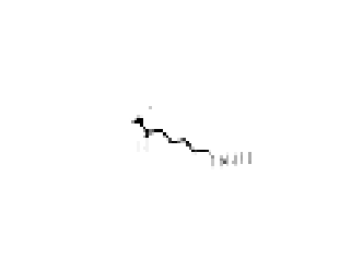 [N-]=[N+]=NCCCCCC(N)C(=O)O